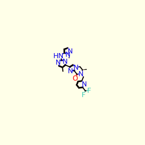 Cc1cnc(Nc2ccnn2C)nc1-c1cn2c(n1)C(=O)N(Cc1cccc(C(F)F)n1)[C@H](C)C2